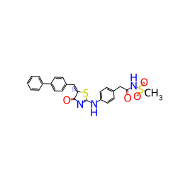 CS(=O)(=O)NC(=O)Cc1ccc(NC2=NC(=O)/C(=C\c3ccc(-c4ccccc4)cc3)S2)cc1